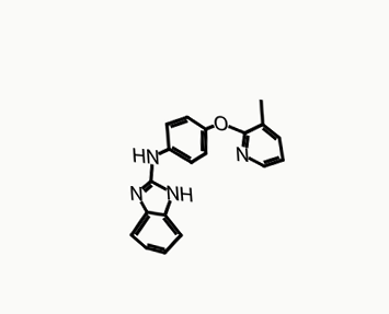 Cc1cccnc1Oc1ccc(Nc2nc3ccccc3[nH]2)cc1